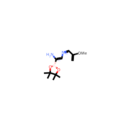 C=C(/C=N\C=C(/N)B1OC(C)(C)C(C)(C)O1)OC